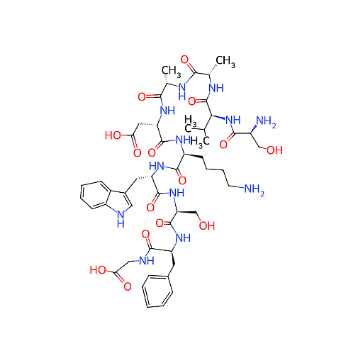 CC(C)[C@H](NC(=O)[C@@H](N)CO)C(=O)N[C@@H](C)C(=O)N[C@@H](C)C(=O)N[C@@H](CC(=O)O)C(=O)N[C@@H](CCCCN)C(=O)N[C@@H](Cc1c[nH]c2ccccc12)C(=O)N[C@@H](CO)C(=O)N[C@@H](Cc1ccccc1)C(=O)NCC(=O)O